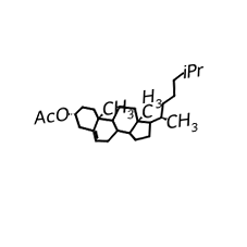 CC(=O)O[C@@H]1CC[C@@]2(C)C(=CCC3C4CCC([C@H](C)CCCC(C)C)[C@@]4(C)CCC32)C1